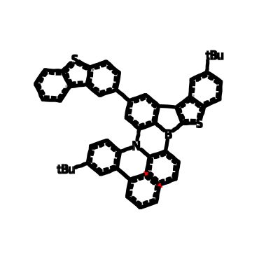 CC(C)(C)c1ccc(N2c3ccccc3B3c4sc5ccc(C(C)(C)C)cc5c4-c4cc(-c5ccc6sc7ccccc7c6c5)cc2c43)c(-c2ccccc2)c1